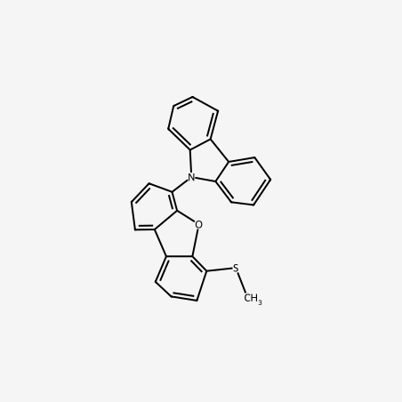 CSc1cccc2c1oc1c(-n3c4ccccc4c4ccccc43)cccc12